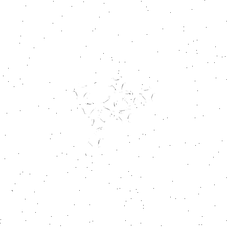 C1=CCC(c2ccc3c(c2)c2ccc(C4=CCCC=C4)cc2n3-c2cccc3c2oc2cccc(-c4cc(-c5ccccc5)nc(-c5ccccc5)n4)c23)C=C1